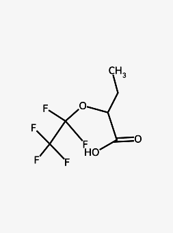 CCC(OC(F)(F)C(F)(F)F)C(=O)O